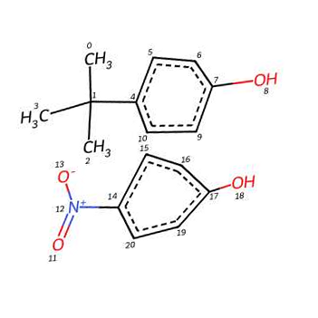 CC(C)(C)c1ccc(O)cc1.O=[N+]([O-])c1ccc(O)cc1